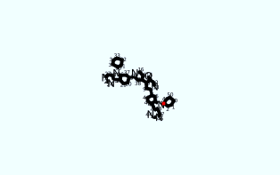 c1ccc(-n2c3cc(-c4cc5c(cn4)oc4cnc(-c6ccc7c8ncncc8n(-c8ccccc8)c7c6)cc45)ccc3c3ncncc32)cc1